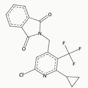 O=C1c2ccccc2C(=O)N1Cc1cc(Cl)nc(C2CC2)c1C(F)(F)F